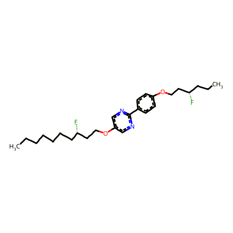 CCCCCCC[C@H](F)CCOc1cnc(-c2ccc(OCC[C@@H](F)CCC)cc2)nc1